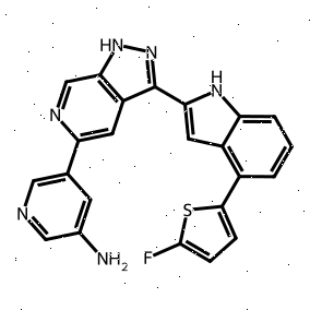 Nc1cncc(-c2cc3c(-c4cc5c(-c6ccc(F)s6)cccc5[nH]4)n[nH]c3cn2)c1